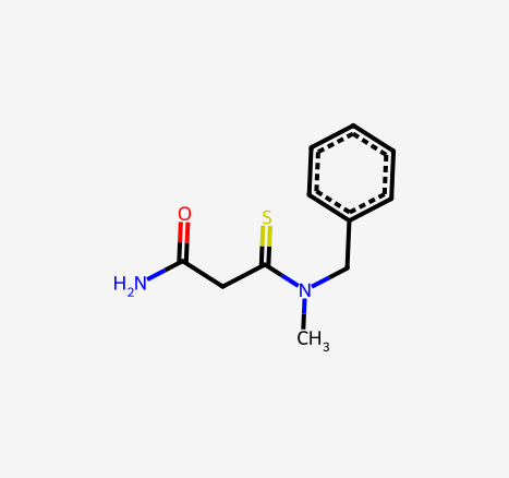 CN(Cc1ccccc1)C(=S)CC(N)=O